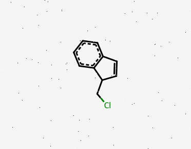 ClCC1C=Cc2c[c]ccc21